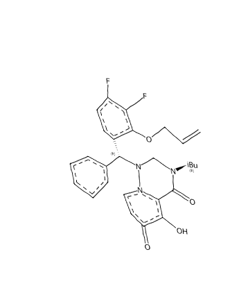 C=CCOc1c([C@@H](c2ccccc2)N2CN([C@H](C)CC)C(=O)c3c(O)c(=O)ccn32)ccc(F)c1F